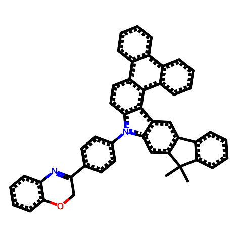 CC1(C)c2ccccc2-c2cc3c4c5c6ccccc6c6ccccc6c5ccc4n(-c4ccc(C5=Nc6ccccc6OC5)cc4)c3cc21